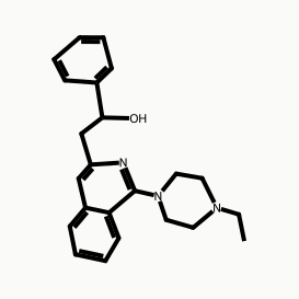 CCN1CCN(c2nc(CC(O)c3ccccc3)cc3ccccc23)CC1